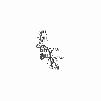 CSCC[C@H](NC(=O)[C@H](Cc1c[nH]c2ccccc12)NC(=O)[C@H](CCSC)NC(=O)[C@H](CC(C)C)NC(=O)[C@@H]1CCCN1C(=O)[C@@H]1CCCN1C(=O)CNC(=O)[C@@H](N)CCC(N)=O)C(=O)N[C@@H](CCC(N)=O)C(=O)N[C@H](C(=O)O)C(C)C